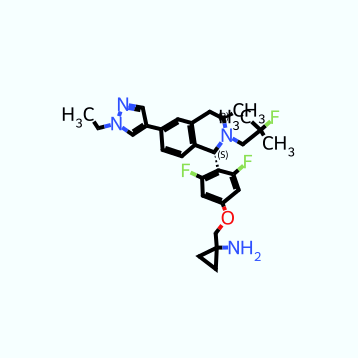 CCn1cc(-c2ccc3c(c2)C[C@@H](C)N(CC(C)(C)F)[C@@H]3c2c(F)cc(OCC3(N)CC3)cc2F)cn1